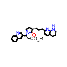 O=C(O)C[C@@H](c1cnc2ccccc2c1)N1CC[C@H](CCCc2ccc3c(n2)NCCC3)C1=O